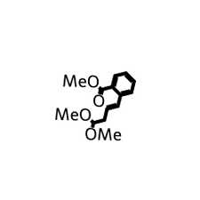 COC(=O)c1ccccc1/C=C/CC(OC)OC